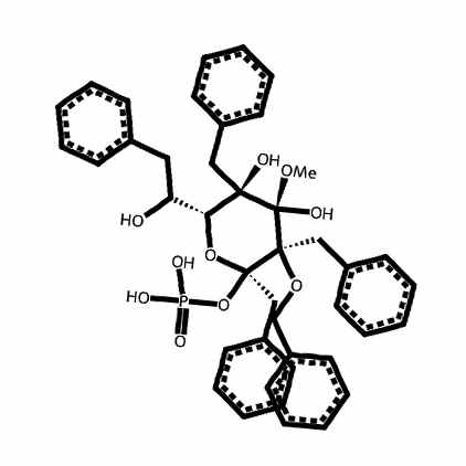 CO[C@@]1(O)[C@@](Cc2ccccc2)(OCc2ccccc2)[C@@](Cc2ccccc2)(OP(=O)(O)O)O[C@H](C(O)Cc2ccccc2)[C@]1(O)Cc1ccccc1